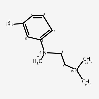 CCC(C)c1cccc(N(C)CCN(C)C)c1